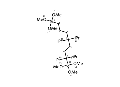 CO[Si](CCCC(CCC(C(C)C)(C(C)C)[Si](OC)(OC)OC)(C(C)C)C(C)C)(OC)OC